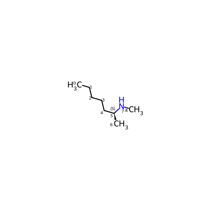 CCCCC[C@H](C)NC